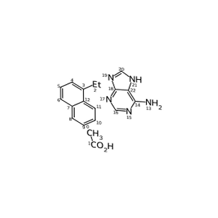 CC(=O)O.CCc1cccc2ccccc12.Nc1ncnc2nc[nH]c12